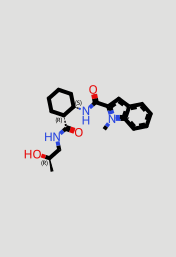 C[C@@H](O)CNC(=O)[C@@H]1CCCC[C@@H]1NC(=O)c1cc2ccccc2n1C